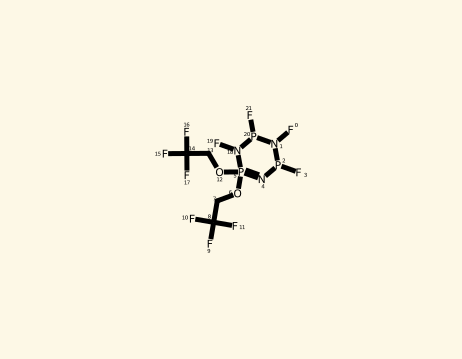 FN1P(F)N=P(OCC(F)(F)F)(OCC(F)(F)F)N(F)P1F